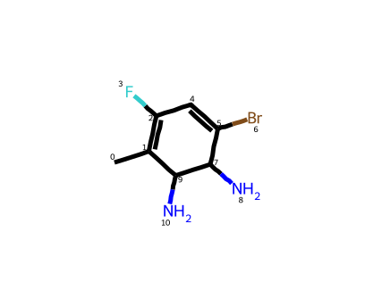 CC1=C(F)C=C(Br)C(N)C1N